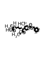 CCOC(=O)[C@H](CCCCN[C@@H](C)C(=O)O)C1CCN(C(=O)OCc2ccccc2)CC1.Cl